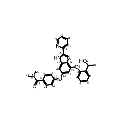 CC(O)c1ccccc1Oc1cc(Oc2ccc(C(=O)N(C)C)cc2)cc2[nH]c(-c3ccccn3)nc12